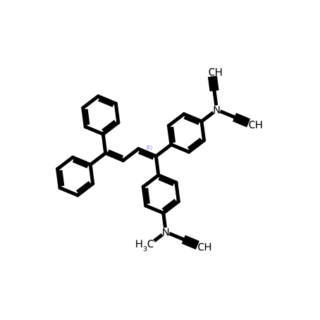 C#CN(C)c1ccc(/C(=C\C=C(c2ccccc2)c2ccccc2)c2ccc(N(C#C)C#C)cc2)cc1